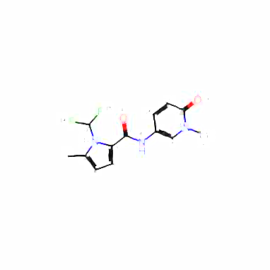 CCn1cc(NC(=O)c2ccc(C)n2C(F)F)ccc1=O